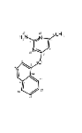 Cc1cc(Oc2cccc3ccccc23)nc(N)n1